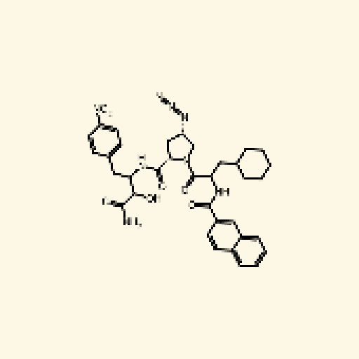 [N-]=[N+]=N[C@H]1C[C@@H](C(=O)NC(Cc2ccc([N+](=O)[O-])cc2)C(O)C(N)=O)N(C(=O)C(CC2CCCCC2)NC(=O)c2ccc3ccccc3c2)C1